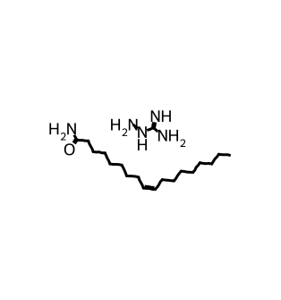 CCCCCCCC/C=C\CCCCCCCC(N)=O.N=C(N)NN